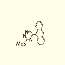 CSc1nncc(-c2c3ccccc3cc3ccccc23)n1